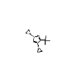 CC(C)(C)c1nn(C2CC2)cc1C1CC1